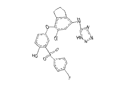 O=S(=O)(c1ccc(F)cc1)c1cc(Oc2c(Cl)cc(Nc3nnn[nH]3)c3c2CCC3)ccc1O